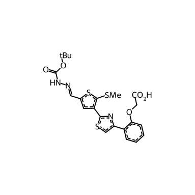 CSc1sc(C=NNC(=O)OC(C)(C)C)cc1-c1nc(-c2ccccc2OCC(=O)O)cs1